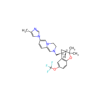 Cc1cn(C2=CN3CCN(C[C@@]45C[C@@H]4C(C)(C)Oc4ccc(OC(F)(F)F)cc45)C=C3C=C2)cn1